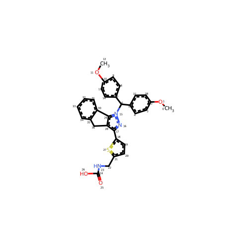 COc1ccc(C(c2ccc(OC)cc2)n2nc(-c3ccc(CNC(=O)O)s3)c3c2-c2ccccc2C3)cc1